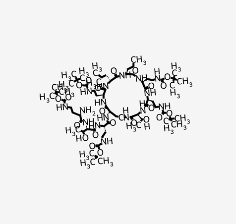 CCC[C@@H]1NC(=O)[C@@H](CC(C)C)NC(=O)[C@H](CCNC(=O)OC(C)(C)C)NC(=O)[C@@H](NC(=O)[C@H](CCNC(=O)OC(C)(C)C)NC(=O)[C@@H](NC(=O)[C@@H](N)CCNC(=O)OC(C)(C)C)C(C)O)CCNC(=O)[C@H](C(C)O)NC(=O)[C@H](CCNC(=O)OC(C)(C)C)NC(=O)[C@H](CCNC(=O)OC(C)(C)C)NC1=O